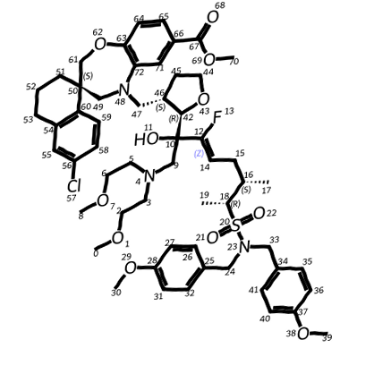 COCCN(CCOC)CC(O)(/C(F)=C/C[C@H](C)[C@@H](C)S(=O)(=O)N(Cc1ccc(OC)cc1)Cc1ccc(OC)cc1)[C@@H]1OCC[C@H]1CN1C[C@@]2(CCCc3cc(Cl)ccc32)COc2ccc(C(=O)OC)cc21